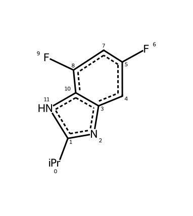 CC(C)c1nc2cc(F)cc(F)c2[nH]1